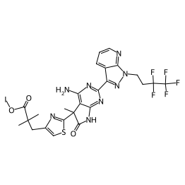 CC(C)(Cc1csc(C2(C)C(=O)Nc3nc(-c4nn(CCC(F)(F)C(F)(F)F)c5ncccc45)nc(N)c32)n1)C(=O)OI